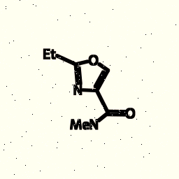 CCc1nc(C(=O)NC)co1